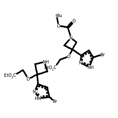 CCOC(=O)COC1(c2cc(Br)[nH]n2)CN(C(=O)OC(C)(C)C)C1.CCOC(=O)COC1(c2cc(Br)[nH]n2)CNC1